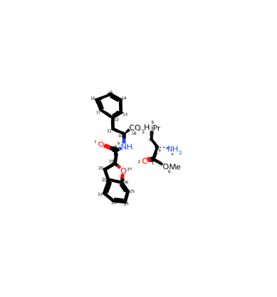 COC(=O)[C@@H](N)CC(C)C.O=C(N[C@@H](Cc1ccccc1)C(=O)O)C1Cc2ccccc2O1